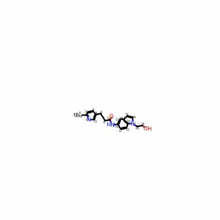 CC(C)(C)c1ccc(CCC(=O)Nc2ccc3c(ccn3CCO)c2)cn1